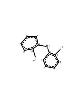 Ic1ccccc1Sc1ccccc1I